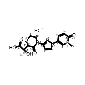 Cl.Cn1cc(-n2ccc(N3CCO[C@H]([C@@](C)(O)C(=O)O)C3=O)n2)ccc1=O